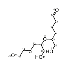 O=CCCCC(CO)OC(CO)CCCC=O